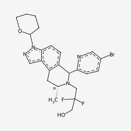 C[C@@H]1Cc2c(ccc3c2cnn3C2CCCCO2)C(c2ccc(Br)cn2)N1CC(F)(F)CO